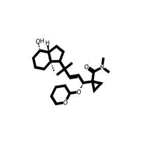 CN(C)C(=O)C1([C@@H](/C=C/C(C)(C)C2CC[C@H]3[C@@H](O)CCC[C@]23C)OC2CCCCO2)CC1